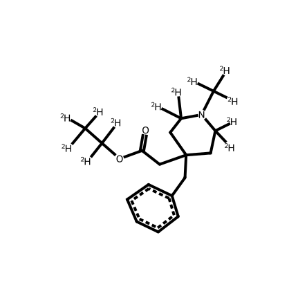 [2H]C([2H])([2H])N1C([2H])([2H])CC(CC(=O)OC([2H])([2H])C([2H])([2H])[2H])(Cc2ccccc2)CC1([2H])[2H]